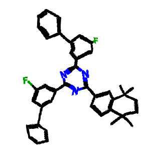 CC1(C)CCC(C)(C)c2cc(-c3nc(-c4cc(F)cc(-c5ccccc5)c4)nc(-c4cc(F)cc(-c5ccccc5)c4)n3)ccc21